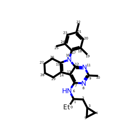 CCC(CC1CC1)Nc1nc(C)nc2c1c1c(n2-c2c(C)cc(C)cc2C)CCCC1